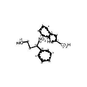 O=C(O)c1cc2ccccc2[nH]1.O=[N+]([O-])C(CCO)c1ccccc1